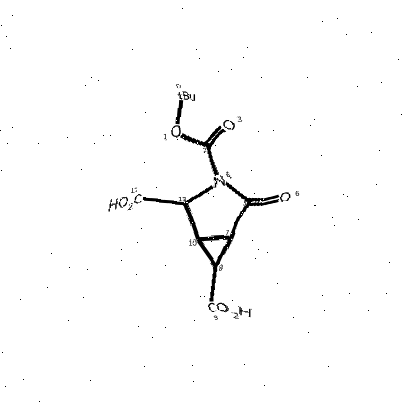 CC(C)(C)OC(=O)N1C(=O)C2C(C(=O)O)C2C1C(=O)O